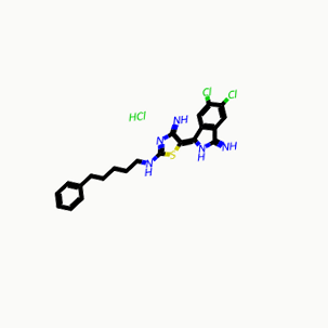 Cl.N=C1N=C(NCCCCCc2ccccc2)SC1=C1NC(=N)c2cc(Cl)c(Cl)cc21